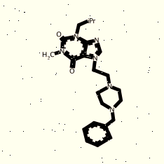 CC(C)Cn1c(=O)n(C)c(=O)c2c1ncn2CCN1CCN(Cc2ccccc2)CC1